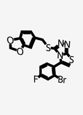 Fc1ccc(-c2csc3nnc(SCc4ccc5c(c4)OCO5)n23)c(Br)c1